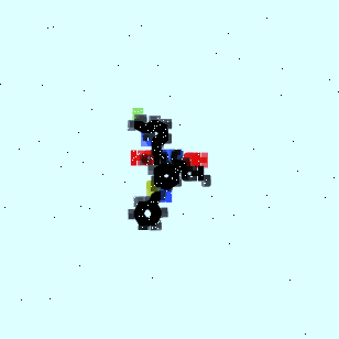 CC(C)(O)c1cc2nc(C3CCCCC3)sc2cc1NC(O)c1cccc(CF)n1